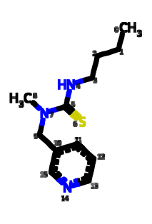 CCCCNC(=S)N(C)Cc1cccnc1